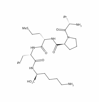 CSCC[C@H](NC(=O)[C@@H]1CCCN1C(=O)[C@@H](N)C(C)C)C(=O)N[C@@H](CC(C)C)C(=O)N[C@@H](CCCCN)C(=O)O